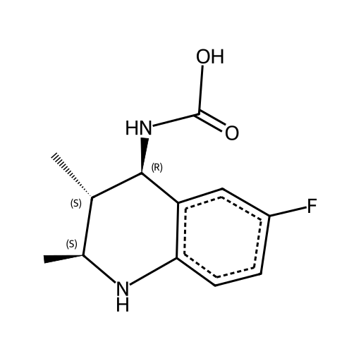 C[C@H]1[C@H](C)Nc2ccc(F)cc2[C@@H]1NC(=O)O